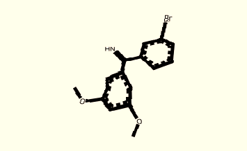 COc1cc(OC)cc(C(=N)c2cccc(Br)c2)c1